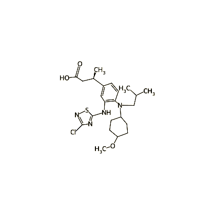 COC1CCC(N(CC(C)C)c2ccc([C@H](C)CC(=O)O)cc2Nc2nc(Cl)ns2)CC1